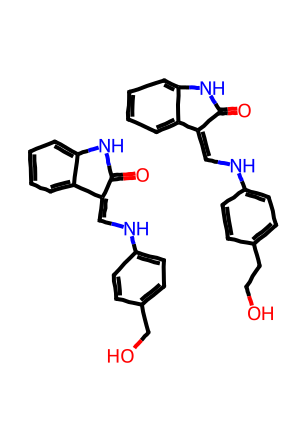 O=C1Nc2ccccc2C1=CNc1ccc(CCO)cc1.O=C1Nc2ccccc2C1=CNc1ccc(CO)cc1